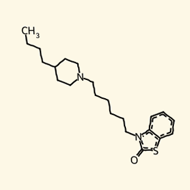 CCCCC1CCN(CCCCCCn2c(=O)sc3ccccc32)CC1